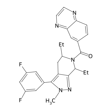 CCC1Cc2c(nn(C)c2-c2cc(F)cc(F)c2)C(CC)N1C(=O)c1ccc2nccnc2c1